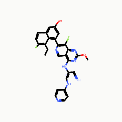 CCc1c(F)ccc2cc(O)cc(-c3ncc4c(N/C(C=N)=C/Nc5ccncc5)nc(OC)nc4c3F)c12